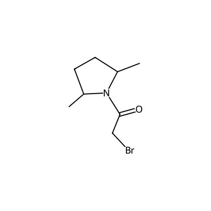 CC1CCC(C)N1C(=O)CBr